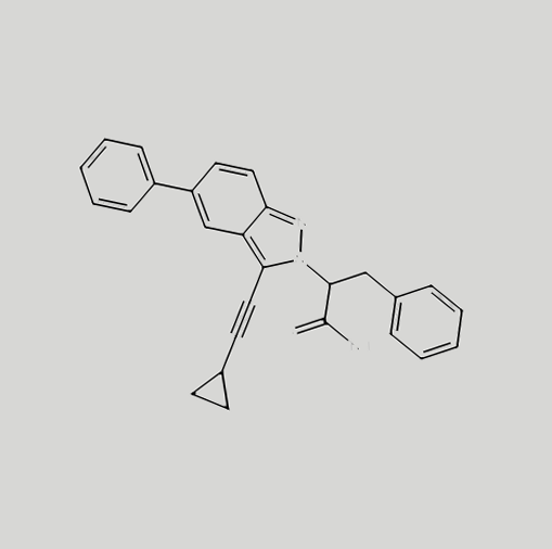 NC(=O)C(Cc1ccccc1)n1nc2ccc(-c3ccccc3)cc2c1C#CC1CC1